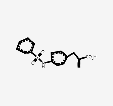 C=C(Cc1ccc(NS(=O)(=O)c2ccccc2)cc1)C(=O)O